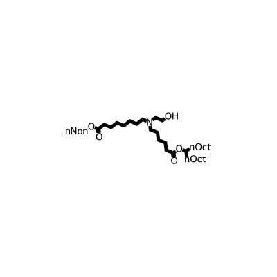 CCCCCCCCCOC(=O)CCCCCCCN(CCO)CCCCCC(=O)OC(CCCCCCCC)CCCCCCCC